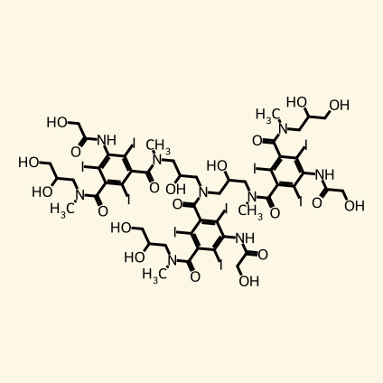 CN(CC(O)CO)C(=O)c1c(I)c(NC(=O)CO)c(I)c(C(=O)N(C)CC(O)CN(CC(O)CN(C)C(=O)c2c(I)c(NC(=O)CO)c(I)c(C(=O)N(C)CC(O)CO)c2I)C(=O)c2c(I)c(NC(=O)CO)c(I)c(C(=O)N(C)CC(O)CO)c2I)c1I